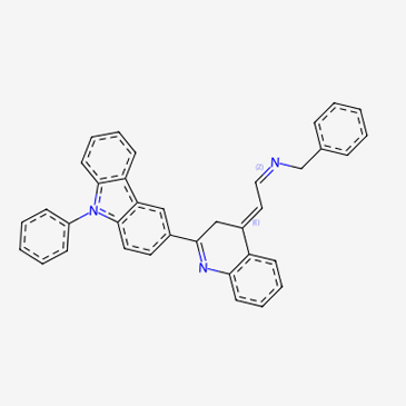 C(/C=C1\CC(c2ccc3c(c2)c2ccccc2n3-c2ccccc2)=Nc2ccccc21)=N/Cc1ccccc1